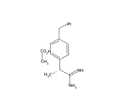 CC(=O)O.CC(C)Cc1ccc([C@@H](C)C(=N)N)cc1